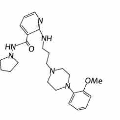 COc1ccccc1N1CCN(CCCNc2ncccc2C(=O)NN2CCCC2)CC1